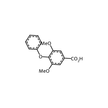 COc1cc(C(=O)O)cc(OC)c1Oc1ccccc1